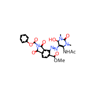 COC(=O)c1ccc2c(c1N=NC1=C(NC(C)=O)N(C)C(=O)N(C)C1O)C(=O)N(C(=O)Oc1ccccc1)C2=O